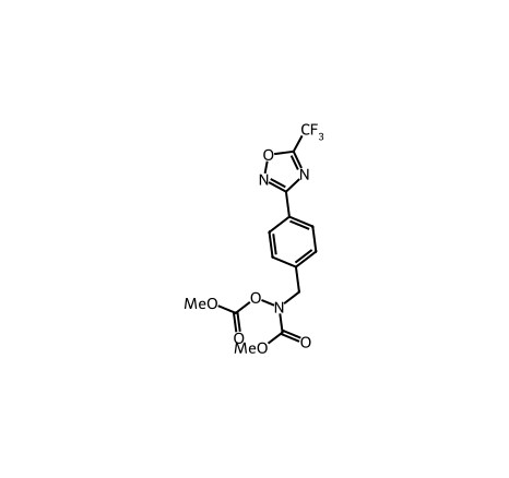 COC(=O)ON(Cc1ccc(-c2noc(C(F)(F)F)n2)cc1)C(=O)OC